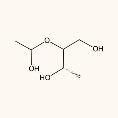 CC(O)OC(CO)[C@H](C)O